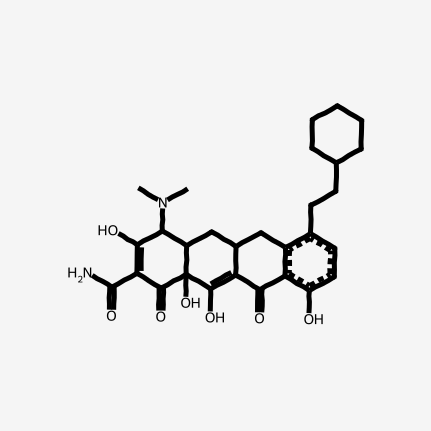 CN(C)C1C(O)=C(C(N)=O)C(=O)C2(O)C(O)=C3C(=O)c4c(O)ccc(CCC5CCCCC5)c4CC3CC12